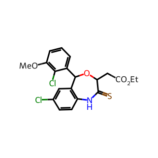 CCOC(=O)CC1OC(c2cccc(OC)c2Cl)c2cc(Cl)ccc2NC1=S